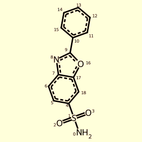 NS(=O)(=O)c1ccc2nc(-c3ccccc3)oc2c1